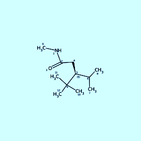 CNC(=O)C[C@@H](C(C)C)C(C)(C)C